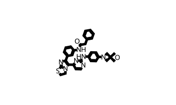 O=C(Cc1ccccc1)Nc1cccc(-c2nc3n(c2-c2ccnc(Nc4ccc(N5CC6(COC6)C5)cc4)n2)CCS3)c1